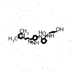 Cc1cc(C)nc(C=Cc2n[nH]c3cc(Nc4ccccc4C(=O)NCC#CCO)ccc23)c1